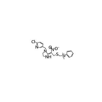 C[Si](C)(CSCC(=C1NCCN1Cc1ccc(Cl)nc1)[N+](=O)[O-])c1ccccc1